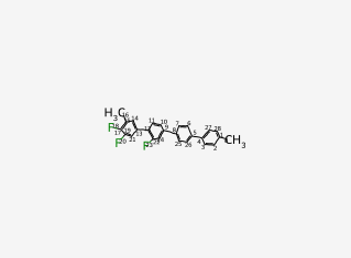 Cc1ccc(-c2ccc(-c3ccc(-c4cc(C)c(F)c(F)c4)c(F)c3)cc2)cc1